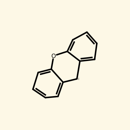 [C]1c2ccccc2Oc2ccccc21